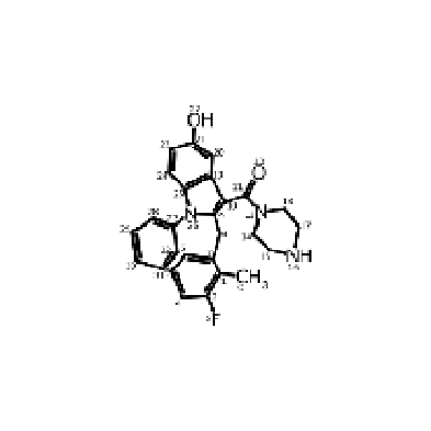 Cc1c(F)cccc1Cc1c(C(=O)N2CCNCC2)c2cc(O)ccc2n1-c1ccccc1